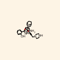 Nc1nnc(-c2ccccc2O)cc1N1CC2CCC(C1)N2c1ccnc(C#CCN2CCNCC2)c1